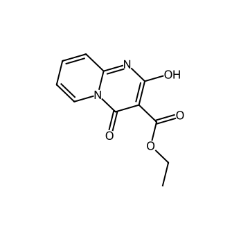 CCOC(=O)c1c(O)nc2ccccn2c1=O